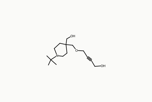 CC(C)(C)N1CCC(CO)(COCC#CCO)CC1